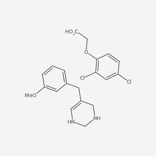 COc1cccc(CC2=CNCNC2)c1.O=C(O)COc1ccc(Cl)cc1Cl